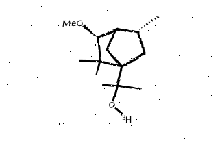 [3H]OC(C)(C)C12CC([C@H](C)C1)[C@H](OC)C2(C)C